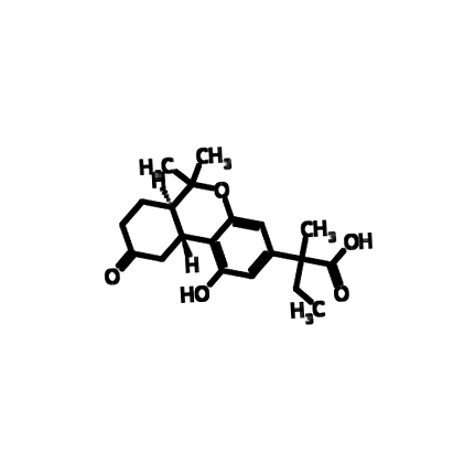 CCC(C)(C(=O)O)c1cc(O)c2c(c1)OC(C)(C)[C@@H]1CCC(=O)C[C@@H]21